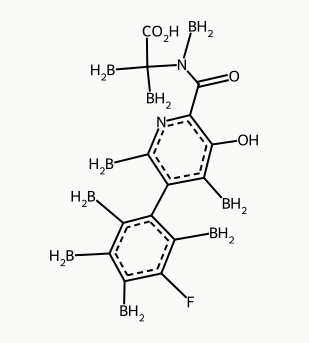 Bc1nc(C(=O)N(B)C(B)(B)C(=O)O)c(O)c(B)c1-c1c(B)c(B)c(B)c(F)c1B